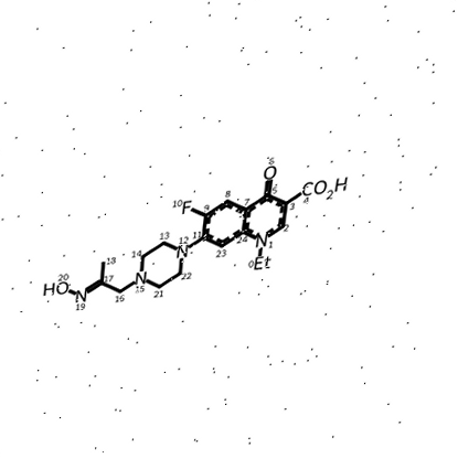 CCn1cc(C(=O)O)c(=O)c2cc(F)c(N3CCN(C/C(C)=N/O)CC3)cc21